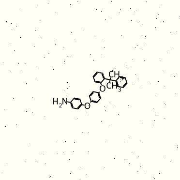 CC(C)(c1ccccc1)c1ccccc1Oc1ccc(Oc2ccc(N)cc2)cc1